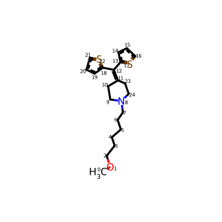 COCCCCCCN1CCC(=C(c2cccs2)c2cccs2)CC1